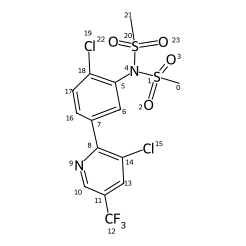 CS(=O)(=O)N(c1cc(-c2ncc(C(F)(F)F)cc2Cl)ccc1Cl)S(C)(=O)=O